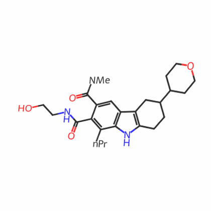 CCCc1c(C(=O)NCCO)c(C(=O)NC)cc2c3c([nH]c12)CCC(C1CCOCC1)C3